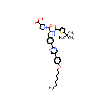 CCCCCCCOc1ccc(-c2cnc(-c3ccc(C[C@H](NC(=O)c4ccc(C(C)(C)C)s4)C(=O)N4CC[C@@H](C(=O)O)C4)cc3)nc2)cc1